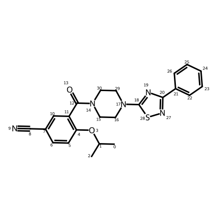 CC(C)Oc1ccc(C#N)cc1C(=O)N1CCN(c2nc(-c3ccccc3)ns2)CC1